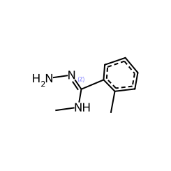 CN/C(=N\N)c1ccccc1C